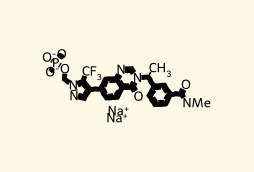 CNC(=O)c1cccc([C@@H](C)n2cnc3cc(-c4cnn(COP(=O)([O-])[O-])c4C(F)(F)F)ccc3c2=O)c1.[Na+].[Na+]